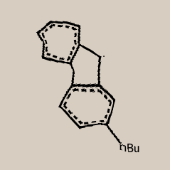 CCCCc1ccc2c(c1)[CH]c1ccccc1-2